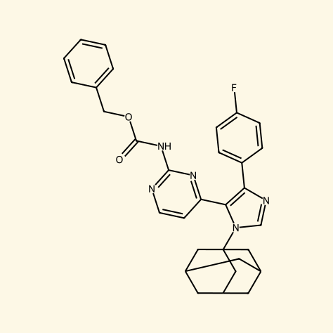 O=C(Nc1nccc(-c2c(-c3ccc(F)cc3)ncn2C23CC4CC(CC(C4)C2)C3)n1)OCc1ccccc1